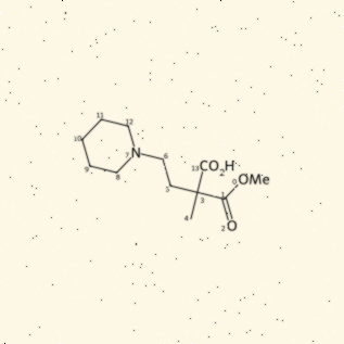 COC(=O)C(C)(CCN1CCCCC1)C(=O)O